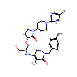 COc1ccc(Cn2ncc(N[C@@H](CO)CO[C@@H]3CCN(C4CCN(c5ncc(C(F)(F)F)cn5)CC4)C3=O)c(C(F)(F)F)c2=O)cc1